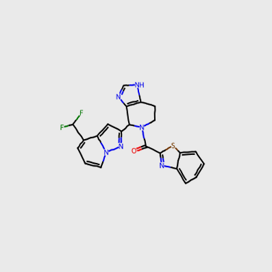 O=C(c1nc2ccccc2s1)N1CCc2[nH]cnc2C1c1cc2c(C(F)F)cccn2n1